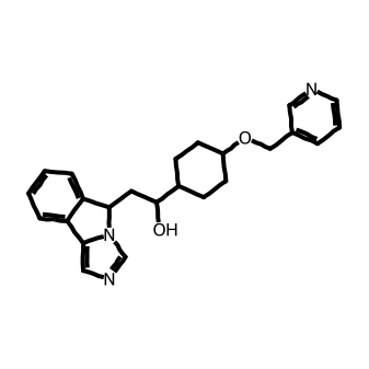 OC(CC1c2ccccc2-c2cncn21)C1CCC(OCc2cccnc2)CC1